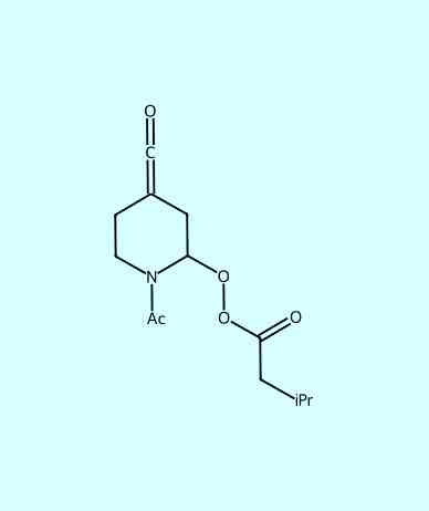 CC(=O)N1CCC(=C=O)CC1OOC(=O)CC(C)C